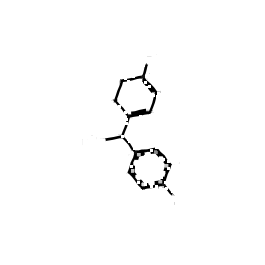 CCCC(C1=CC=C(F)CC1)c1ccc(F)cc1